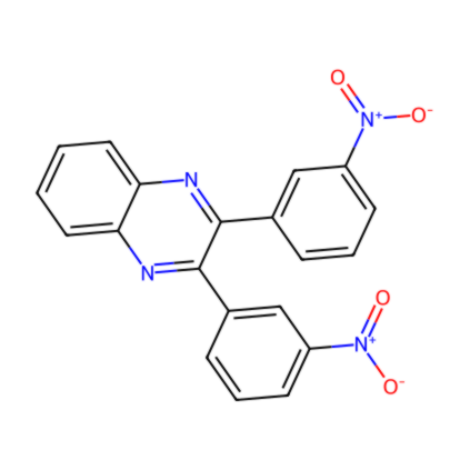 O=[N+]([O-])c1cccc(-c2nc3ccccc3nc2-c2cccc([N+](=O)[O-])c2)c1